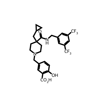 O=C(O)c1cc(CN2CCC(CC3CC3)(C(=O)NCc3cc(C(F)(F)F)cc(C(F)(F)F)c3)CC2)ccc1O